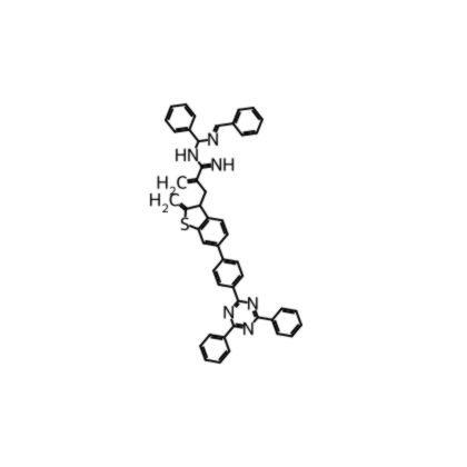 C=C(CC1C(=C)Sc2cc(-c3ccc(-c4nc(-c5ccccc5)nc(-c5ccccc5)n4)cc3)ccc21)C(=N)NC(/N=C/c1ccccc1)c1ccccc1